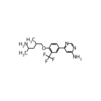 CC(N)CC(C)COc1ccc(-c2cc(N)ncn2)cc1C(F)(F)F